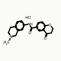 CN1CCc2ccc(NC(=O)c3ccc4c(c3)C(=O)CCO4)cc2C1.Cl